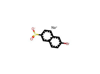 O=S([O-])c1ccc2cc(Br)ccc2c1.[Na+]